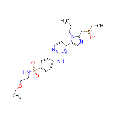 CCCn1c(-c2ccnc(Nc3ccc(S(=O)(=O)NCCOCC)cc3)n2)cnc1C[S+]([O-])CC